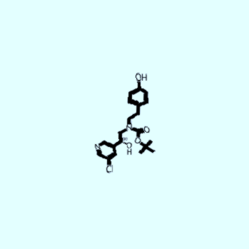 CC(C)(C)OC(=O)N(CCc1ccc(O)cc1)C[C@H](O)c1cncc(Cl)c1